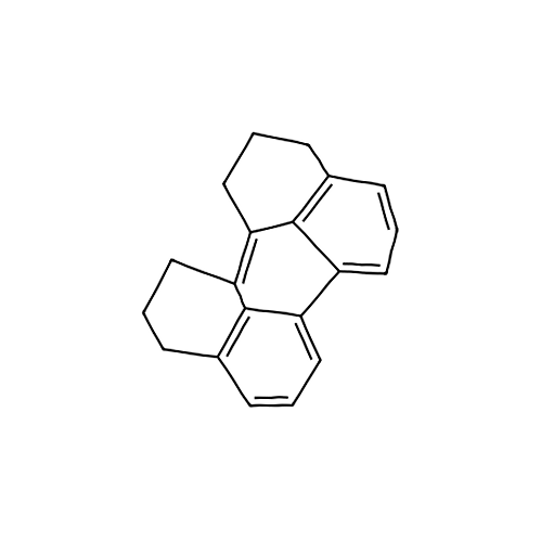 c1cc2c3c(c4c5c(cccc5c3c1)CCC4)CCC2